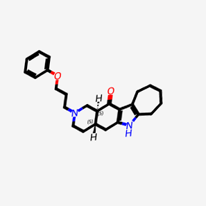 O=C1c2c([nH]c3c2CCCCC3)C[C@@H]2CCN(CCCOc3ccccc3)C[C@@H]12